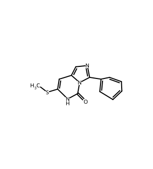 CSc1cc2cnc(-c3ccccc3)n2c(=O)[nH]1